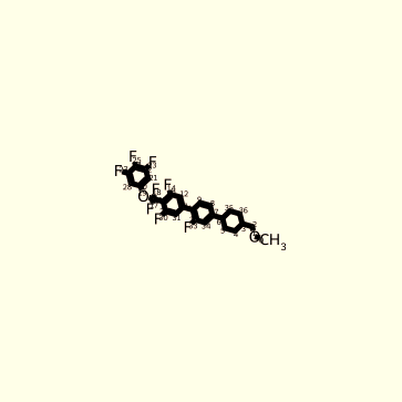 COCC1CCC(c2ccc(-c3cc(F)c(C(F)(F)Oc4cc(F)c(F)c(F)c4)c(F)c3)c(F)c2)CC1